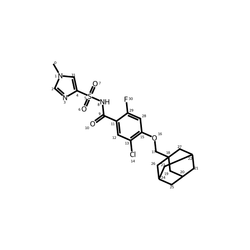 Cn1cnc(S(=O)(=O)NC(=O)c2cc(Cl)c(OCC34CC5CC(CC(C5)C3)C4)cc2F)c1